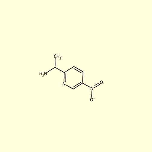 [CH2]C(N)c1ccc([N+](=O)[O-])cn1